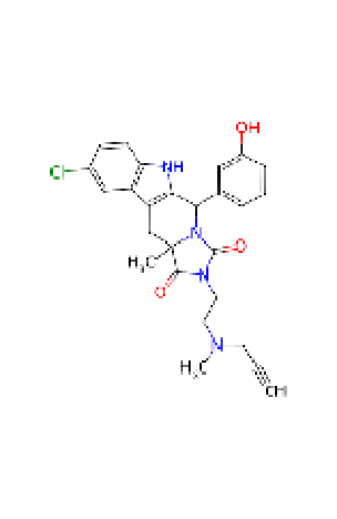 C#CCN(C)CCN1C(=O)N2C(c3cccc(O)c3)c3[nH]c4ccc(Cl)cc4c3CC2(C)C1=O